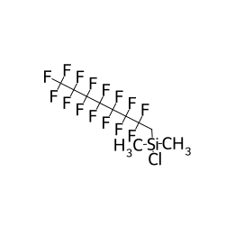 C[Si](C)(Cl)CC(F)(F)C(F)(F)C(F)(F)C(F)(F)C(F)(F)C(F)(F)C(F)(F)F